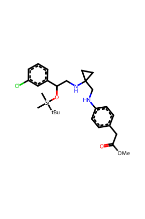 COC(=O)Cc1ccc(NCC2(NCC(O[Si](C)(C)C(C)(C)C)c3cccc(Cl)c3)CC2)cc1